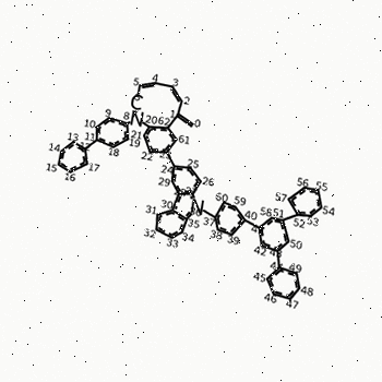 C=C1/C=C\C=C/CN(c2ccc(-c3ccccc3)cc2)c2ccc(-c3ccc4c(c3)c3ccccc3n4-c3ccc(-c4cc(-c5ccccc5)cc(-c5ccccc5)c4)cc3)cc21